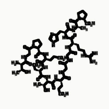 C[C@H](NC(=O)[C@H](Cc1c[nH]cn1)NC(=O)[C@H](CCCNC(=N)N)NC(=O)CNC(=O)CNC(=O)[C@H](CCC(=O)O)NC(=O)[C@@H](NC(=O)[C@H](CC(=O)O)NC(=O)[C@H](CCC(=O)O)NC(=O)[C@@H]1CCCN1C(=O)CNC(=O)[C@@H](N)[C@@H](C)O)[C@@H](C)O)C(=O)N1CCC[C@H]1C(=O)O